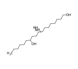 CCCCCCC(O)CCCCCCCCCCCO.N.N